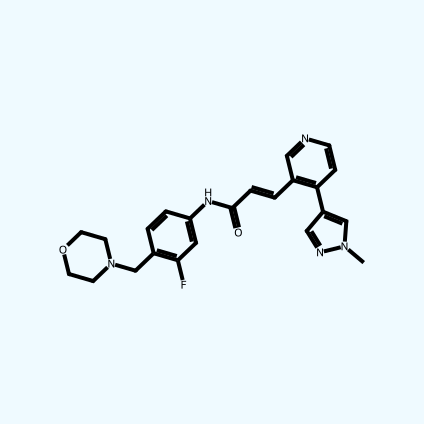 Cn1cc(-c2ccncc2C=CC(=O)Nc2ccc(CN3CCOCC3)c(F)c2)cn1